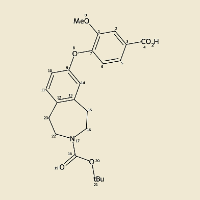 COc1cc(C(=O)O)ccc1Oc1ccc2c(c1)CCN(C(=O)OC(C)(C)C)CC2